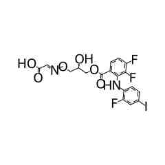 O=C(O)/C=N/OC[C@@H](O)COC(=O)c1ccc(F)c(F)c1Nc1ccc(I)cc1F